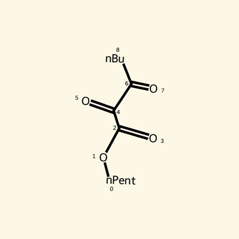 CCCCCOC(=O)C(=O)C(=O)CCCC